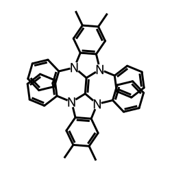 Cc1cc2c(cc1C)N(c1ccccc1)C(=C1N(c3ccccc3)c3cc(C)c(C)cc3N1c1ccccc1)N2c1ccccc1